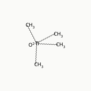 CCCCCCCCCCCCCCCCC[CH2][Ti]([CH2]CCCCCCCCCCCCCCCCC)([CH2]CCCCCCCCCCCCCCCCC)[CH2]CCCCCCCCCCCCCCCCC.[O-2]